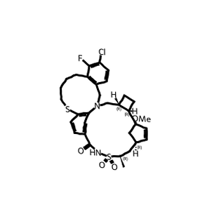 COC12C=C[C@@H](C[C@@H](C)S(=O)(=O)NC(=O)c3ccc4c(c3)N(Cc3ccc(Cl)c(F)c3CCCCS4)C[C@@H]3CC[C@H]31)C2